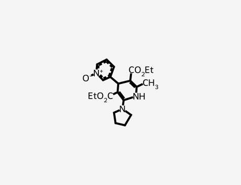 CCOC(=O)C1=C(C)NC(N2CCCC2)=C(C(=O)OCC)C1c1ccc[n+]([O-])c1